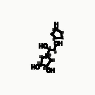 C1CCNC1.OC[C@@H](O)N1CC(O)C(O)C1